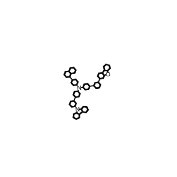 c1cc(-c2ccc(N(c3ccc(-c4cccc(-n5c6ccccc6c6ccccc65)c4)cc3)c3ccc(-c4cccc5ccccc45)cc3)cc2)cc(-c2ccc3c(c2)oc2ccccc23)c1